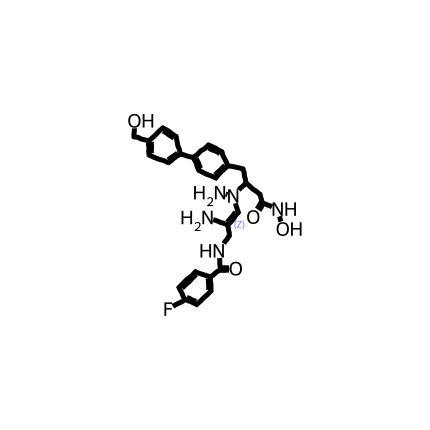 N/C(=C\N(N)C(CC(=O)NO)Cc1ccc(-c2ccc(CO)cc2)cc1)CNC(=O)c1ccc(F)cc1